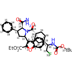 CCOC(=O)c1oc2ccccc2c1C1C[C@@H](c2ccccc2)[C@@H](C(N)=O)N1C(=O)[C@H]1CC[C@H](C(CF)NC(=O)OC(C)(C)C)CC1